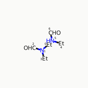 CCN(C=O)CC.CCNC=O